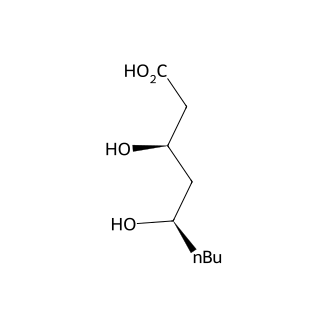 CCCC[C@@H](O)C[C@@H](O)CC(=O)O